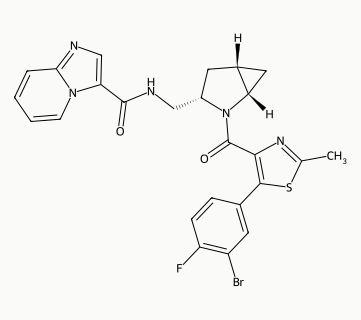 Cc1nc(C(=O)N2[C@H](CNC(=O)c3cnc4ccccn34)C[C@@H]3C[C@@H]32)c(-c2ccc(F)c(Br)c2)s1